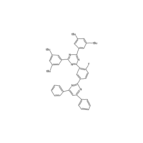 CC(C)(C)c1cc(-c2nc(-c3cc(C(C)(C)C)cc(C(C)(C)C)c3)nc(-c3cc(-c4nc(-c5ccccc5)cc(-c5ccccc5)n4)ccc3F)n2)cc(C(C)(C)C)c1